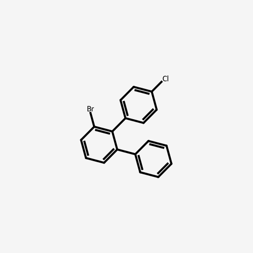 Clc1ccc(-c2c(Br)cccc2-c2ccccc2)cc1